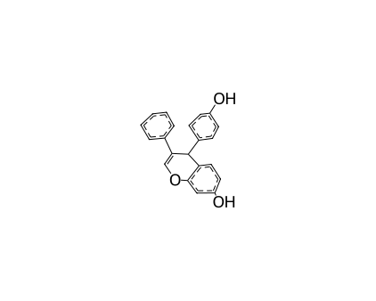 Oc1ccc(C2C(c3ccccc3)=COc3cc(O)ccc32)cc1